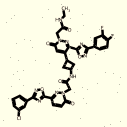 CCNC(=O)Cn1nc(-c2nc(-c3ccc(F)c(F)c3)no2)c(C2CC(NC(=O)Cn3nc(-c4nc(-c5cccc(Cl)c5)no4)ccc3=O)C2)cc1=O